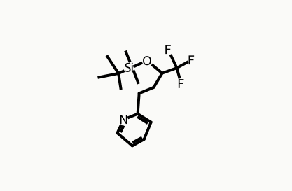 CC(C)(C)[Si](C)(C)OC(CCc1ccccn1)C(F)(F)F